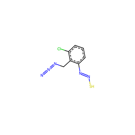 [N-]=[N+]=NCc1c(Cl)cccc1N=NS